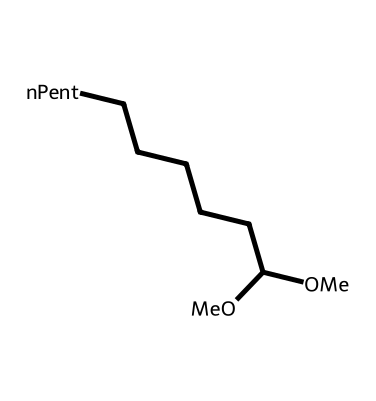 [CH2]CCCCCCCCCC(OC)OC